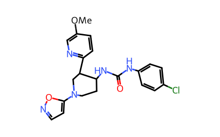 COc1ccc(C2CN(c3ccno3)CCC2NC(=O)Nc2ccc(Cl)cc2)nc1